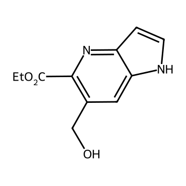 CCOC(=O)c1nc2cc[nH]c2cc1CO